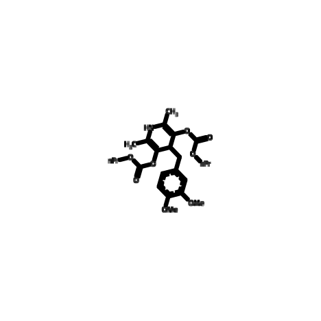 CCCOC(=O)OC1=C(C)NC(C)=C(OC(=O)OCCC)C1Cc1ccc(OC)c(OC)c1